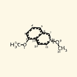 COc1cccc2c[n+](OC)ccc12